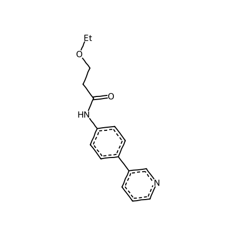 CCOCCC(=O)Nc1ccc(-c2cccnc2)cc1